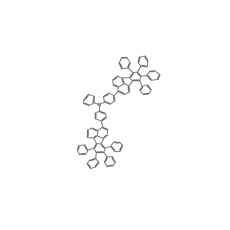 c1ccc(-c2c(-c3ccccc3)c(-c3ccccc3)c3c(c2-c2ccccc2)-c2cccc4c(-c5ccc(N(c6ccccc6)c6ccc(-c7ccc8c9c(cccc79)-c7c(-c9ccccc9)c(-c9ccccc9)c(-c9ccccc9)c(-c9ccccc9)c7-8)cc6)cc5)ccc-3c24)cc1